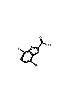 O=C(O)c1nc2c(F)ccc(Br)c2o1